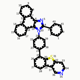 c1ccc(-c2nc3c4ccccc4c4ccccc4c3n2-c2ccc(-c3cccc4c3sc3ccncc34)cc2)cc1